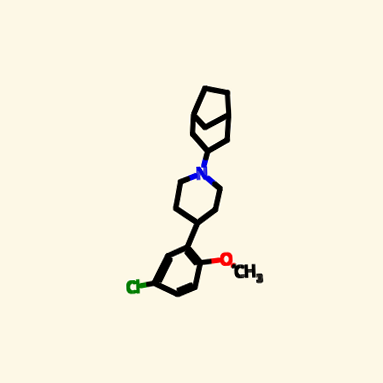 COc1ccc(Cl)cc1C1CCN(C2CC3CCC(C3)C2)CC1